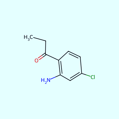 CCC(=O)c1ccc(Cl)cc1N